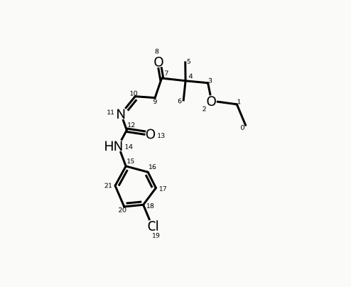 CCOCC(C)(C)C(=O)C/C=N\C(=O)Nc1ccc(Cl)cc1